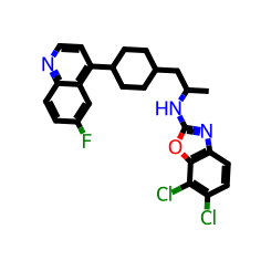 CC(CC1CCC(c2ccnc3ccc(F)cc23)CC1)Nc1nc2ccc(Cl)c(Cl)c2o1